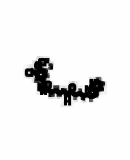 O=C(CCCc1ccc2cccnc2n1)NCCCCc1nnc(-c2ccc(OC(F)(F)F)c(Cl)c2)o1